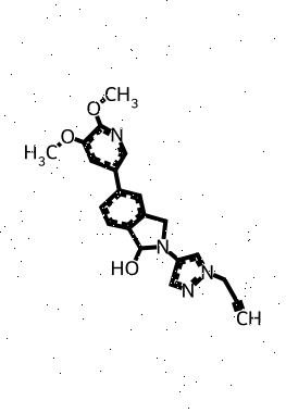 C#CCn1cc(N2Cc3cc(-c4cnc(OC)c(OC)c4)ccc3C2O)cn1